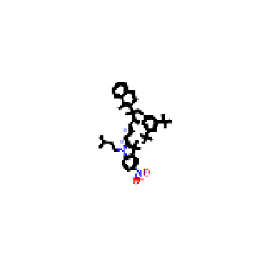 C=C(/C=C/C=C1/N(CCC(C)C)c2ccc([N+](=O)[O-])cc2C1(C)C)C(C)(Cc1cc(C(C)(C)C)cc(C(C)(C)C)c1)c1ccc2ccccc2c1C